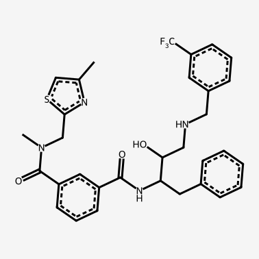 Cc1csc(CN(C)C(=O)c2cccc(C(=O)NC(Cc3ccccc3)C(O)CNCc3cccc(C(F)(F)F)c3)c2)n1